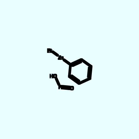 C[CH2][Zn][c]1ccccc1.O=PO